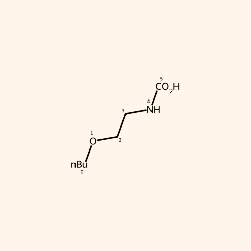 CCCCOCCNC(=O)O